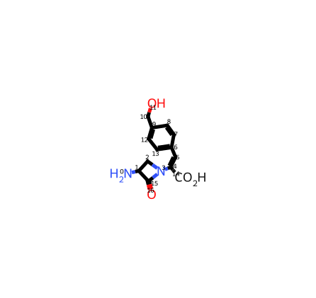 NC1CN(C(=Cc2ccc(CO)cc2)C(=O)O)C1=O